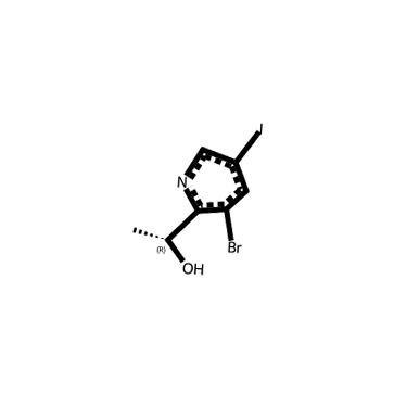 C[C@@H](O)c1ncc(I)cc1Br